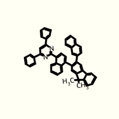 CC1(C)c2ccccc2-c2cc(-c3ccc4ccccc4c3)c(-c3ccc(-c4nc(-c5ccccc5)cc(-c5ccccc5)n4)c4ccccc34)cc21